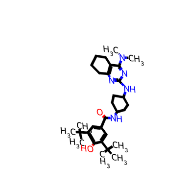 CN(C)c1nc(NC2CCC(NC(=O)c3cc(C(C)(C)C)c(O)c(C(C)(C)C)c3)CC2)nc2c1CCCC2